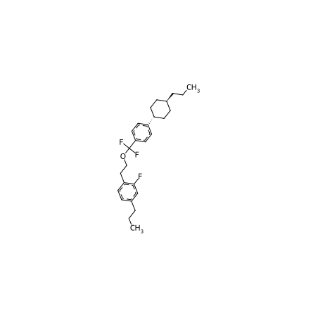 CCCc1ccc(CCOC(F)(F)c2ccc([C@H]3CC[C@H](CCC)CC3)cc2)c(F)c1